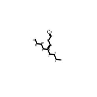 CCCCC(=CCC=O)CCCC